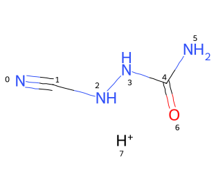 N#CNNC(N)=O.[H+]